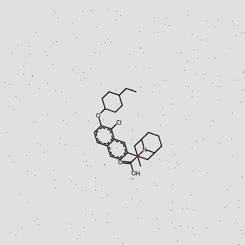 CCC1CCC(Oc2ccc3ccc(C(C)N4C5CCCC4CC(C(=O)O)C5)cc3c2Cl)CC1